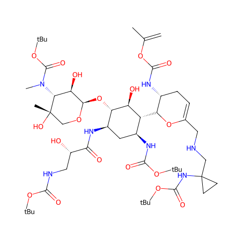 C=C(C)OC(=O)N[C@@H]1CC=C(CNCC2(NC(=O)OC(C)(C)C)CC2)OC1[C@H]1[C@H](O)[C@@H](O[C@H]2OC[C@](C)(O)[C@H](N(C)C(=O)OC(C)(C)C)[C@H]2O)[C@H](NC(=O)[C@@H](O)CNC(=O)OC(C)(C)C)C[C@@H]1NC(=O)OC(C)(C)C